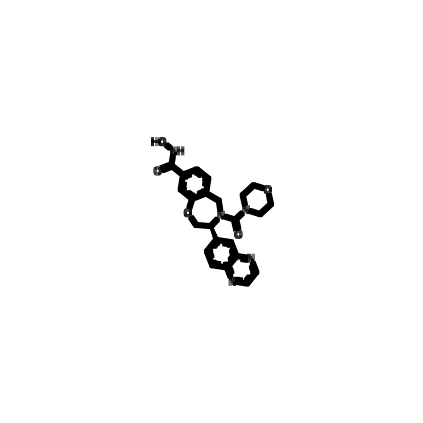 O=C(NO)c1ccc2c(c1)OC[C@H](c1ccc3nccnc3c1)N(C(=O)N1CCOCC1)C2